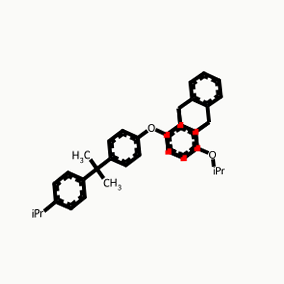 CC(C)Oc1ccc(Oc2ccc(C(C)(C)c3ccc(C(C)C)cc3)cc2)c2c1C1c3ccccc3C2c2ccccc21